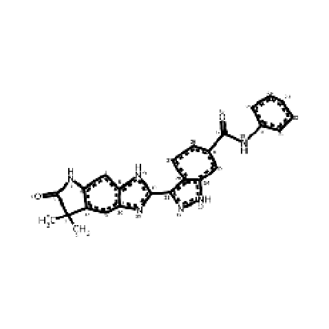 CC1(C)C(=O)Nc2cc3[nH]c(-c4n[nH]c5cc(C(=O)Nc6ccccc6)ccc45)nc3cc21